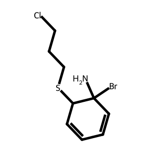 NC1(Br)C=CC=CC1SCCCCl